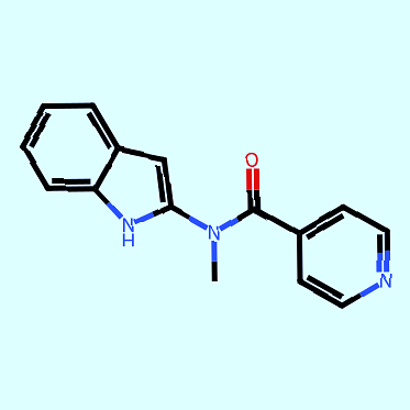 CN(C(=O)c1ccncc1)c1cc2ccccc2[nH]1